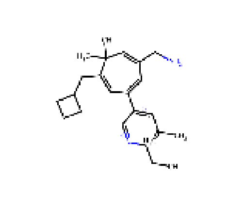 C=C(C)/C=C(\C=N/CCC)C1=CC(CN)=CC(C)(C)C(CC2CCC2)=C1